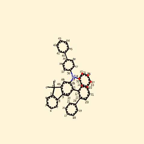 CC1(C)c2ccccc2-c2cc(-c3c(-c4ccccc4)ccc4c3CCCC4)c(N(c3ccccc3)c3ccc(-c4ccccc4)cc3)cc21